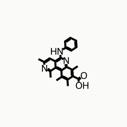 Cc1cc2c(Nc3ccccc3)nc3c(C)c(C(=O)O)c(C)c(C)c3c2c(C)n1